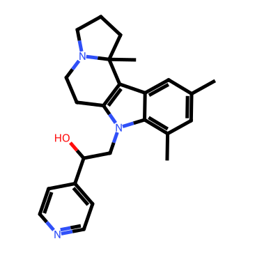 Cc1cc(C)c2c(c1)c1c(n2CC(O)c2ccncc2)CCN2CCCC12C